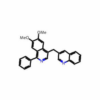 COc1cc2c(Cc3cnc4ccccc4c3)cnc(-c3ccccc3)c2cc1OC